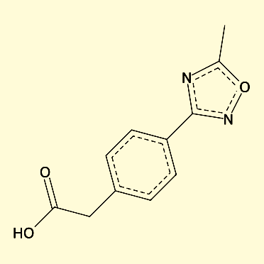 Cc1nc(-c2ccc(CC(=O)O)cc2)no1